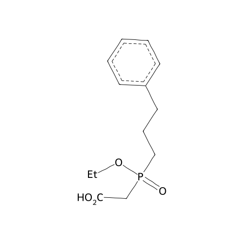 CCOP(=O)(CCCc1ccccc1)CC(=O)O